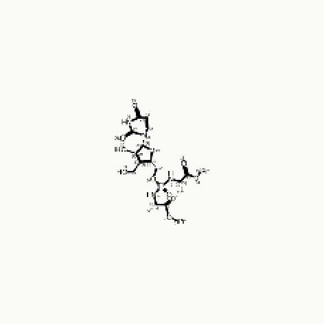 CC(C)OC(=O)[C@H](C)NP(=O)(N[C@@H](C)C(=O)OC(C)C)OC[C@H]1O[C@@H](n2ccc(=O)[nH]c2=O)[C@H](O)[C@@H]1CO